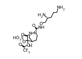 NCCC[C@H](N)CONC(=O)N1CC[C@@H]2CN1C(=O)C2(OC(=O)C(F)(F)F)OS(=O)(=O)O